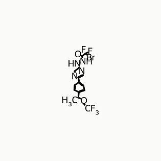 CC(OCC(F)(F)F)c1ccc(-c2cnc(NNC(=O)C(F)(F)Br)cn2)cc1